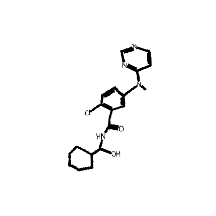 CN(c1ccc(Cl)c(C(=O)NC(O)C2CCCCC2)c1)c1ccncn1